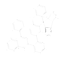 c1ccc(-c2nc(-c3cccnc3-c3ccc4c(c3)C3(c5ccccc5S4)c4ccccc4-c4ccccc43)nc3ccccc23)cc1